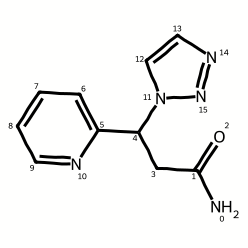 NC(=O)CC(c1ccccn1)n1ccnn1